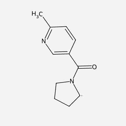 Cc1ccc(C(=O)N2[CH]CCC2)cn1